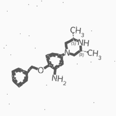 C[C@@H]1CN(c2ccc(OCc3ccccc3)c(N)c2)C[C@H](C)N1